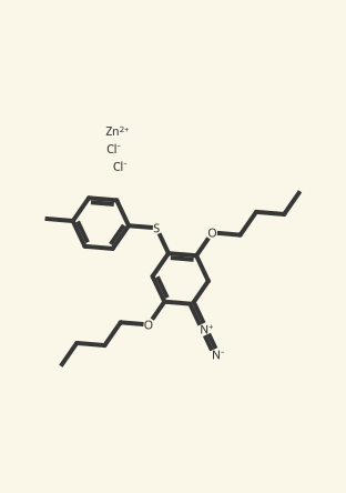 CCCCOC1=CC(Sc2ccc(C)cc2)=C(OCCCC)CC1=[N+]=[N-].[Cl-].[Cl-].[Zn+2]